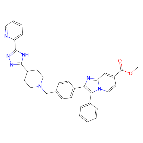 COC(=O)c1ccn2c(-c3ccccc3)c(-c3ccc(CN4CCC(c5nnc(-c6ccccn6)[nH]5)CC4)cc3)nc2c1